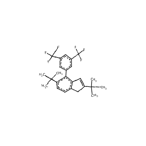 CC(C)(C)C1=Cc2c(ccc(C(C)(C)C)c2-c2cc(C(F)(F)F)cc(C(F)(F)F)c2)[CH]1